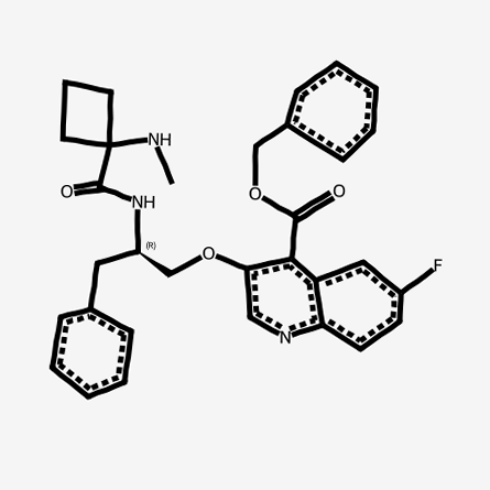 CNC1(C(=O)N[C@@H](COc2cnc3ccc(F)cc3c2C(=O)OCc2ccccc2)Cc2ccccc2)CCC1